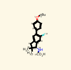 CCCCOc1ccc(-c2cc3c(cc2F)[C@H](NC(=O)O)C(C)(C)C3)cc1